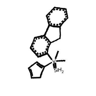 [CH3][V]([CH3])(=[SiH2])([C]1=CC=CC1)[c]1cccc2c1Cc1ccccc1-2